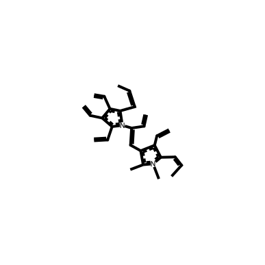 C=C/C(=C\c1c(C=C)c(/C=C\C)n(C)c1C)n1c(C=C)c(C=C)c(C=C)c1/C=C\C